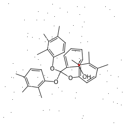 Cc1ccc(OC(Oc2ccc(C)c(C)c2C)(Oc2ccc(C)c(C)c2C)c2ccccc2O)c(C)c1C